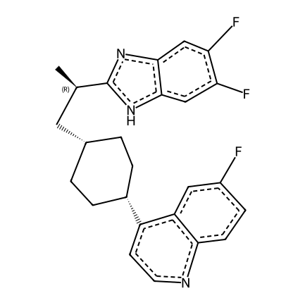 C[C@H](C[C@H]1CC[C@@H](c2ccnc3ccc(F)cc32)CC1)c1nc2cc(F)c(F)cc2[nH]1